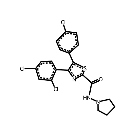 O=C(NN1CCCC1)c1nc(-c2ccc(Cl)cc2Cl)c(-c2ccc(Cl)cc2)s1